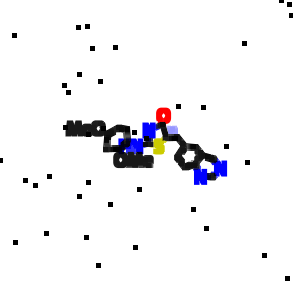 COc1ccc(NC2=NC(=O)/C(=C/c3ccc4ncncc4c3)S2)c(OC)c1